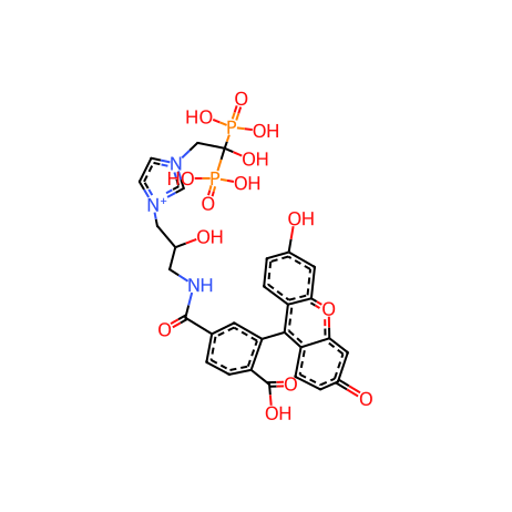 O=C(NCC(O)C[n+]1ccn(CC(O)(P(=O)(O)O)P(=O)(O)O)c1)c1ccc(C(=O)O)c(-c2c3ccc(=O)cc-3oc3cc(O)ccc23)c1